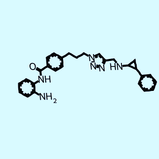 Nc1ccccc1NC(=O)c1ccc(CCCn2cc(CNC3CC3c3ccccc3)nn2)cc1